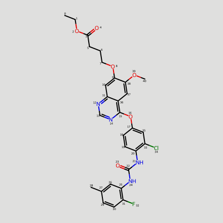 CCOC(=O)CCCOc1cc2ncnc(Oc3ccc(NC(=O)Nc4cc(C)ccc4F)c(Cl)c3)c2cc1OC